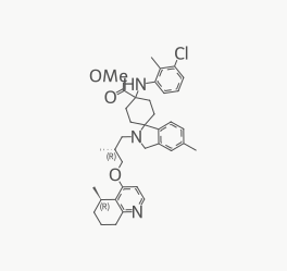 COC(=O)C1(Nc2cccc(Cl)c2C)CCC2(CC1)c1ccc(C)cc1CN2C[C@@H](C)COc1ccnc2c1[C@H](C)CCC2